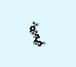 Cc1ccc([N+](=O)[O-])cc1S(=O)(=O)n1ccc(-c2cnn3ccc(Br)cc23)n1